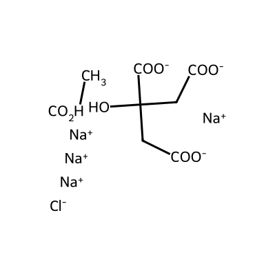 CC(=O)O.O=C([O-])CC(O)(CC(=O)[O-])C(=O)[O-].[Cl-].[Na+].[Na+].[Na+].[Na+]